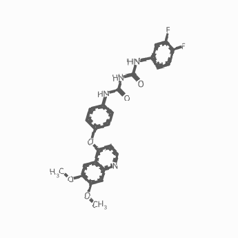 COc1cc2nccc(Oc3ccc(NC(=O)NC(=O)Nc4ccc(F)c(F)c4)cc3)c2cc1OC